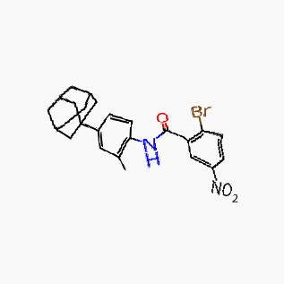 Cc1cc(C23CC4CC(CC(C4)C2)C3)ccc1NC(=O)c1cc([N+](=O)[O-])ccc1Br